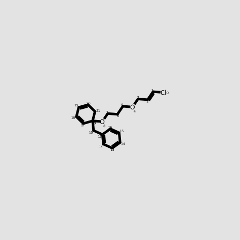 ClC=CCOCCCOC1(Cc2ccccc2)C=CC=CC1